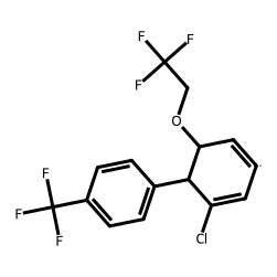 FC(F)(F)COC1C=[C]C=C(Cl)C1c1ccc(C(F)(F)F)cc1